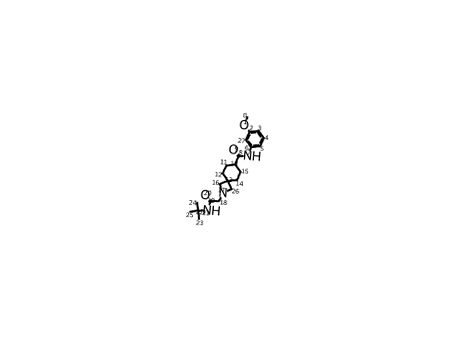 COc1cccc(NC(=O)C2CCC3(CC2)CN(CC(=O)NC(C)(C)C)C3)c1